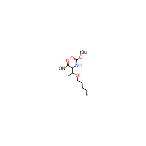 C=CCCCOC(C)[C@H](NC(=O)OC(C)(C)C)C(=O)N=O